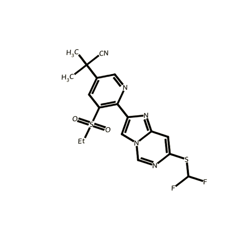 CCS(=O)(=O)c1cc(C(C)(C)C#N)cnc1-c1cn2cnc(SC(F)F)cc2n1